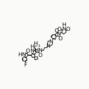 Cc1[nH]c2c(c1C(=O)NCCCN1CCN(c3ccc4c(c3)C(=O)N(C3CCC(=O)NC3=O)C4=O)CC1)C1(CCC1)C/C2=C1/C(=O)Nc2ccc(F)cc21